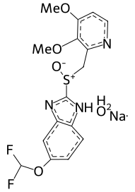 COc1ccnc(C[S+]([O-])c2nc3cc(OC(F)F)ccc3[nH]2)c1OC.O.[Na]